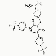 CC(C)c1ccc(C=C(C(=O)Nc2ccc(C(F)(F)F)cc2)C(=O)Nc2ccc(C(F)(F)F)cc2)cc1